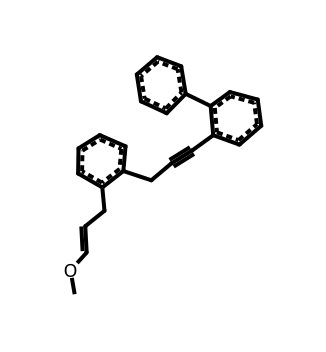 COC=CCc1ccccc1CC#Cc1ccccc1-c1ccccc1